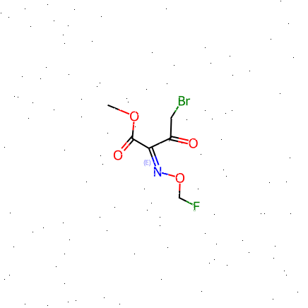 COC(=O)/C(=N/OCF)C(=O)CBr